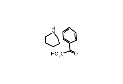 C1CCNCC1.O=C(O)C(=O)c1ccccc1